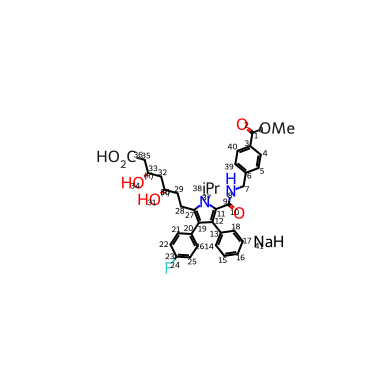 COC(=O)c1ccc(CNC(=O)c2c(-c3ccccc3)c(-c3ccc(F)cc3)c(CC[C@@H](O)C[C@@H](O)CC(=O)O)n2C(C)C)cc1.[NaH]